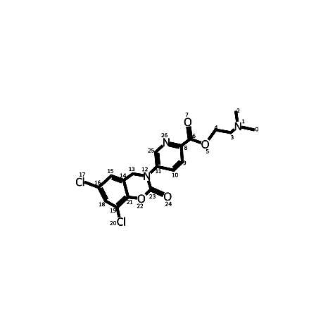 CN(C)CCOC(=O)c1ccc(N2Cc3cc(Cl)cc(Cl)c3OC2=O)cn1